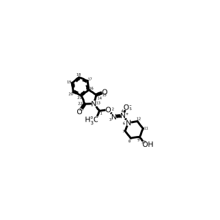 CC(ON=[N+]([O-])N1CCC(O)CC1)N1C(=O)c2ccccc2C1=O